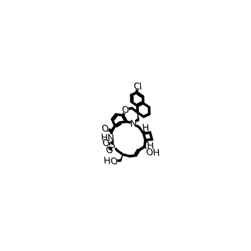 O=C1NS(=O)(=O)C[C@H](CO)C/C=C/[C@@H](O)[C@@H]2CC[C@H]2CN2C[C@@]3(CCCc4cc(Cl)ccc43)COc3ccc1cc32